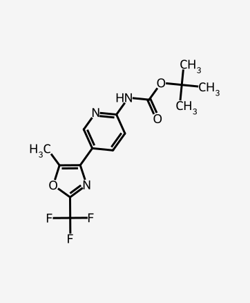 Cc1oc(C(F)(F)F)nc1-c1ccc(NC(=O)OC(C)(C)C)nc1